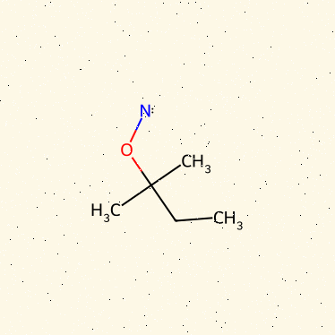 CCC(C)(C)O[N]